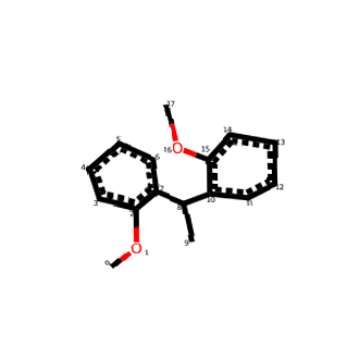 COc1ccccc1C(C)c1ccccc1OC